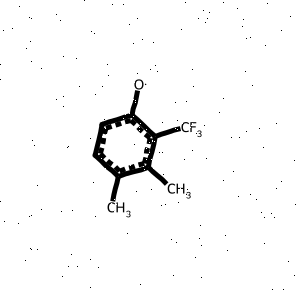 Cc1ccc([O])c(C(F)(F)F)c1C